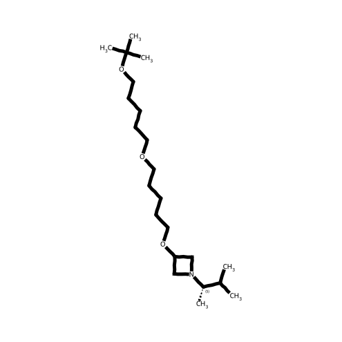 CC(C)[C@H](C)N1CC(OCCCCCOCCCCCOC(C)(C)C)C1